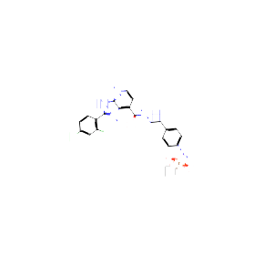 CCS(=O)(=O)Nc1ccc(CCNC(=O)c2ccnc3[nH]c(-c4ccc(F)cc4F)nc23)cc1